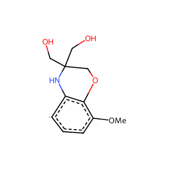 COc1cc[c]c2c1OCC(CO)(CO)N2